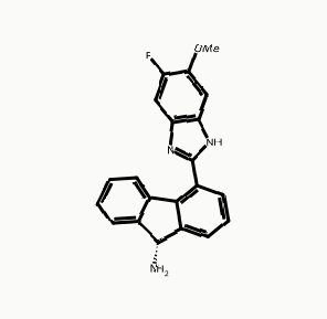 COc1cc2[nH]c(-c3cccc4c3-c3ccccc3[C@H]4N)nc2cc1F